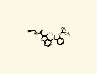 Cc1c(C(=O)NCC#N)sc2ncnc(Nc3cccnc3OC(C)C)c12